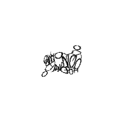 CCN(CCN(CP(O)O)C(CO)c1cc(OC)cc2c1OC(C)(CC)OC2)C(CO)c1cc(OC)cc2c1OC(C)(CC)OC2